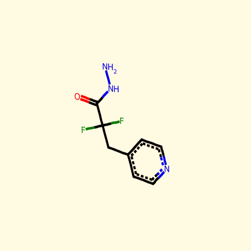 NNC(=O)C(F)(F)Cc1ccncc1